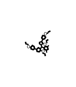 C=CCOc1ccc(C2=CC(C(c3cc(-c4ccc(OCC=C)cc4)ccc3OCC=C)c3cc(C)cc(C)c3OCC=C)C=C2)cc1